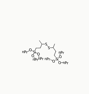 CCCO[Si](CCC(C)SSC(C)CC[Si](OCCC)(OCCC)OCCC)(OCCC)OCCC